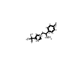 NC(Cn1cnc(C(F)(F)F)c1)c1ccc(F)cc1